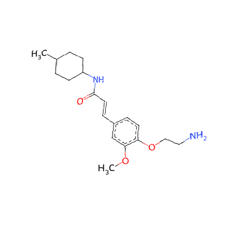 COc1cc(/C=C/C(=O)NC2CCC(C)CC2)ccc1OCCN